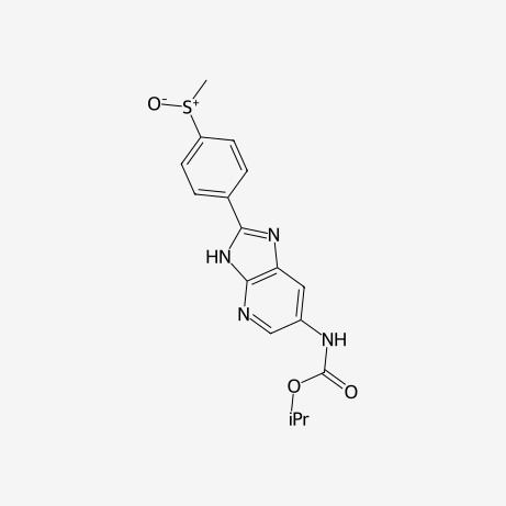 CC(C)OC(=O)Nc1cnc2[nH]c(-c3ccc([S+](C)[O-])cc3)nc2c1